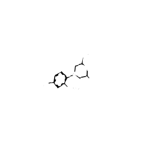 COc1cc(C)ccc1N1CC(C)OC(C)C1